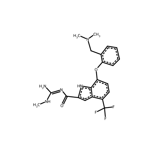 CNC(N)=NC(=O)c1cc2c(C(F)(F)F)ccc(Oc3ccccc3CN(C)C)c2[nH]1